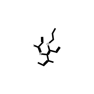 C=C/C(OCCC)=C(/N=C(/I)C=C)C(\C)=C/C